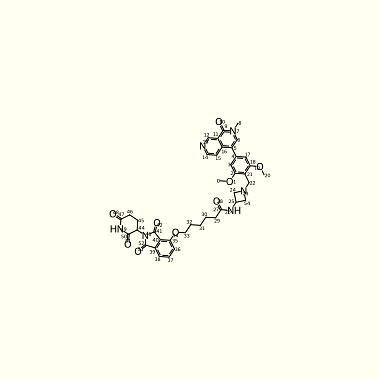 COc1cc(-c2cn(C)c(=O)c3cnccc23)cc(OC)c1CN1CC(NC(=O)CCCCCOc2cccc3c2C(=O)N(C2CCC(=O)NC2=O)C3=O)C1